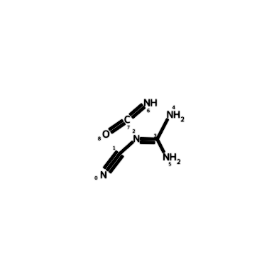 N#CN=C(N)N.N=C=O